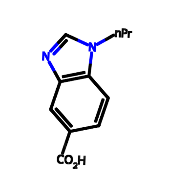 CCCn1cnc2cc(C(=O)O)ccc21